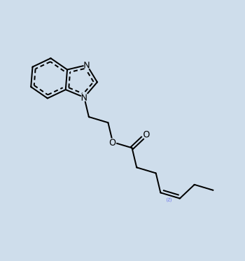 CC/C=C\CCC(=O)OCCn1cnc2ccccc21